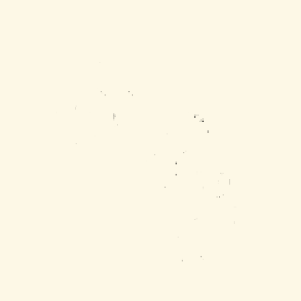 C=Cc1c(/C=C(\C)c2nc(-c3ccccc3)nc(-c3ccccc3)n2)c(C)n(-c2ccc3c(c2)C(C)(C)c2ccc4ncsc4c2-3)c1/C=C\C